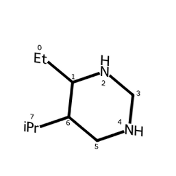 CCC1NCNCC1C(C)C